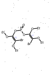 CCO/C(Br)=C(\OCC)O[PH](=O)O/C(OCC)=C(\Br)OCC